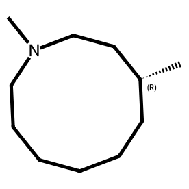 C[C@@H]1CCCCCCN(C)CC1